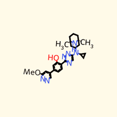 COc1cc(-c2ccc(-c3ncc(N(C4CC4)[C@H]4C[C@]5(C)CCC[C@](C)(C4)N5)nn3)c(O)c2)cnn1